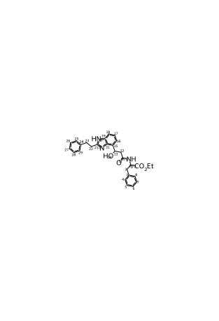 CCOC(=O)[C@@H](Cc1ccccc1)NC(=O)CC(O)c1cccc2[nH]c(CCc3ccccc3)nc12